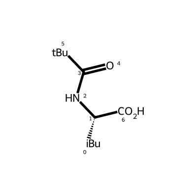 CCC(C)[C@H](NC(=O)C(C)(C)C)C(=O)O